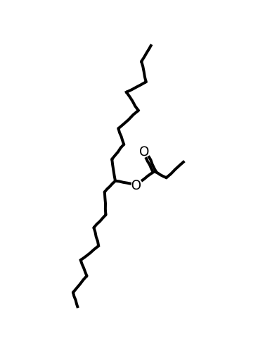 CCCCCCCCC(CCCCCCCC)OC(=O)CC